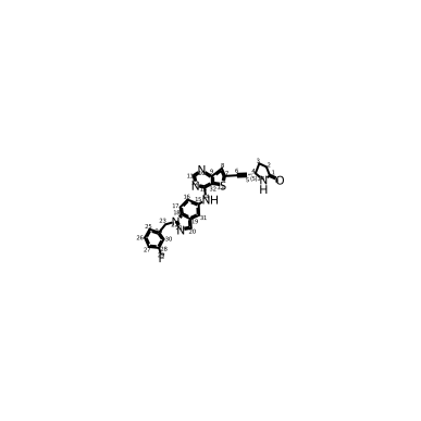 O=C1CC[C@@H](C#Cc2cc3ncnc(Nc4ccc5c(cnn5Cc5cccc(F)c5)c4)c3s2)N1